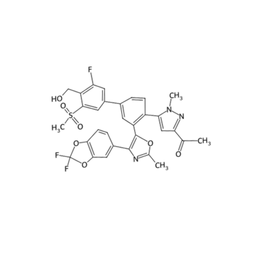 CC(=O)c1cc(-c2ccc(-c3cc(F)c(CO)c(S(C)(=O)=O)c3)cc2-c2oc(C)nc2-c2ccc3c(c2)OC(F)(F)O3)n(C)n1